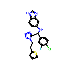 Fc1cc(C(Nc2ccc3[nH]cnc3c2)c2nnnn2CCc2cccs2)ccc1Cl